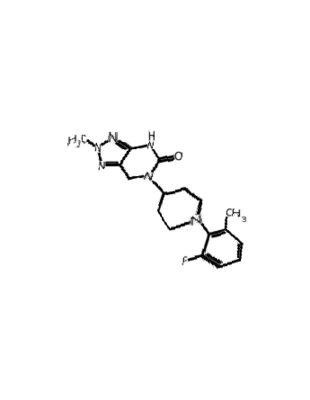 Cc1cccc(F)c1N1CCC(N2Cc3nn(C)nc3NC2=O)CC1